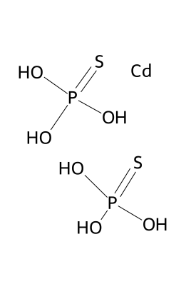 OP(O)(O)=S.OP(O)(O)=S.[Cd]